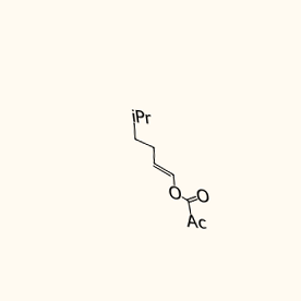 CC(=O)C(=O)OC=CCCC(C)C